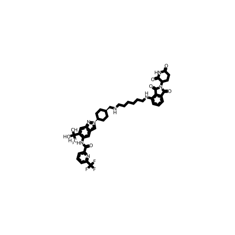 CC(C)(O)c1cc2nn([C@H]3CC[C@H](CNCCCCCCNc4cccc5c4C(=O)N(C4CCC(=O)NC4=O)C5=O)CC3)cc2cc1NC(=O)c1cccc(C(F)(F)F)n1